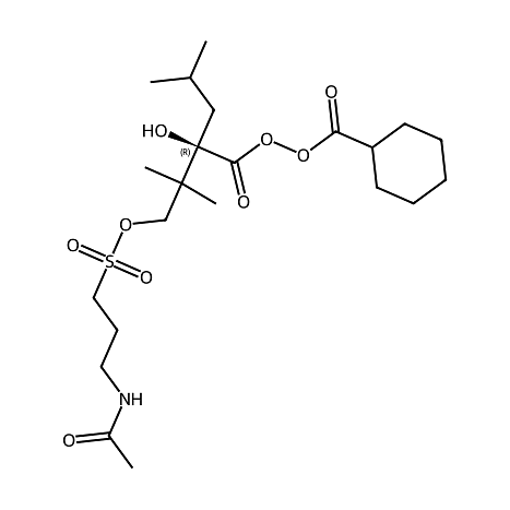 CC(=O)NCCCS(=O)(=O)OCC(C)(C)[C@](O)(CC(C)C)C(=O)OOC(=O)C1CCCCC1